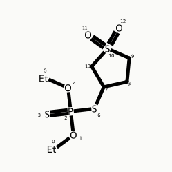 CCOP(=S)(OCC)SC1CCS(=O)(=O)C1